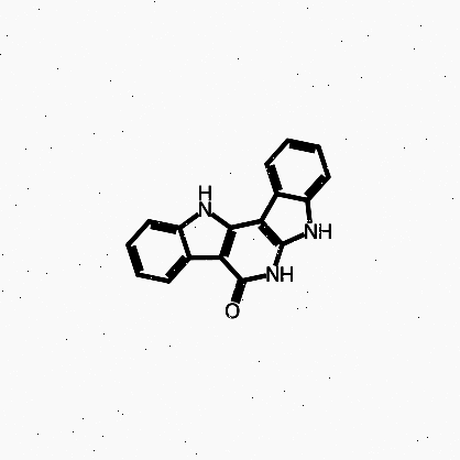 O=c1[nH]c2[nH]c3ccccc3c2c2[nH]c3ccccc3c12